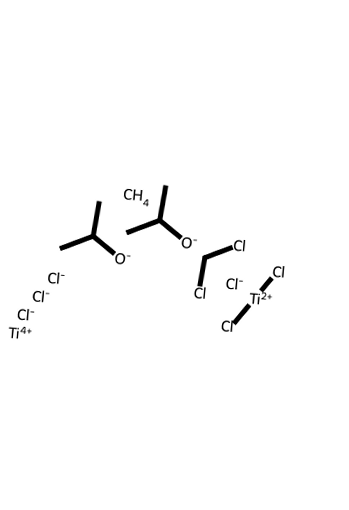 C.CC(C)[O-].CC(C)[O-].ClCCl.[Cl-].[Cl-].[Cl-].[Cl-].[Cl][Ti+2][Cl].[Ti+4]